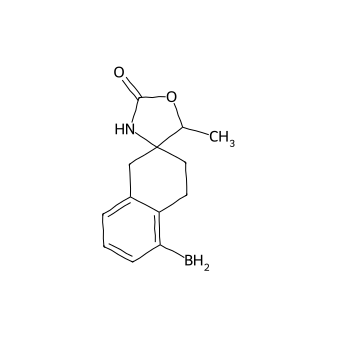 Bc1cccc2c1CCC1(C2)NC(=O)OC1C